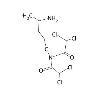 [CH2]C(N)CCCN(C(=O)C(Cl)Cl)C(=O)C(Cl)Cl